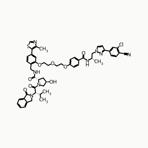 Cc1ncsc1-c1ccc(CNC(=O)[C@@H]2C[C@@H](O)CN2C(=O)[C@H](C(C)C)N2Cc3ccccc3C2=O)c(OCCOCCOc2ccc(C(=O)N[C@@H](C)Cn3ccc(-c4ccc(C#N)c(Cl)c4)n3)cc2)c1